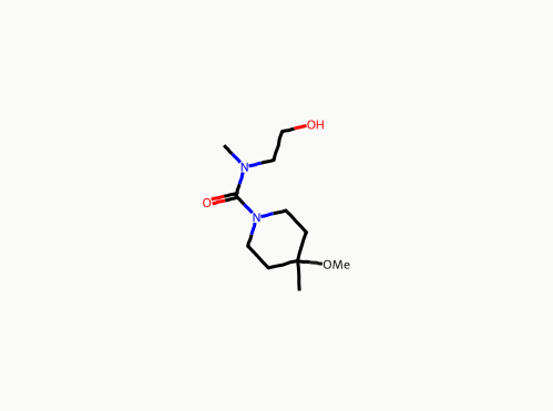 COC1(C)CCN(C(=O)N(C)CCO)CC1